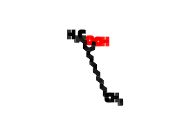 CCCCCCCCCCCCC(CCCC)CC(=O)O